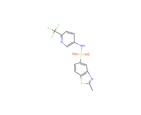 Cc1nc2cc(S(=O)(=O)Nc3ccc(C(F)(F)F)nc3)ccc2s1